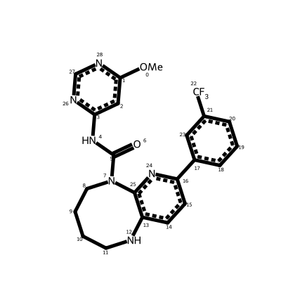 COc1cc(NC(=O)N2CCCCNc3ccc(-c4cccc(C(F)(F)F)c4)nc32)ncn1